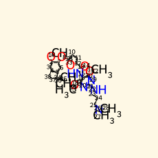 COc1cc2c(cc1Oc1ccc(C(=O)Nc3c(OC)nc(NCCCN(C)C)nc3OC)o1)C(C)(C)CC2